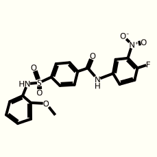 COc1ccccc1NS(=O)(=O)c1ccc(C(=O)Nc2ccc(F)c([N+](=O)[O-])c2)cc1